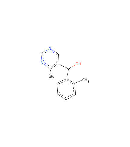 Cc1ccccc1C(O)c1cncnc1C(C)(C)C